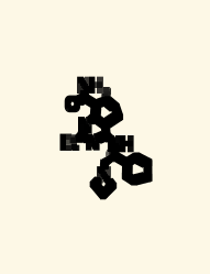 CCc1nc(N[C@H](CN2CCC2)c2ccccc2)c2cccc(C(N)=O)c2n1